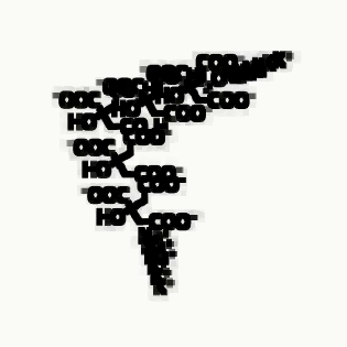 O.O=C(O)CC(O)(CC(=O)O)C(=O)[O-].O=C([O-])CC(O)(CC(=O)O)C(=O)[O-].O=C([O-])CC(O)(CC(=O)[O-])C(=O)[O-].O=C([O-])CC(O)(CC(=O)[O-])C(=O)[O-].O=C([O-])CC(O)(CC(=O)[O-])C(=O)[O-].[K+].[K+].[K+].[K+].[K+].[K+].[Na+].[Na+].[Na+].[Na+].[Na+].[Na+]